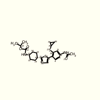 CC(=O)Nc1ccc(-c2cnc([C@H]3CC[C@H](NC(=O)OC(C)C)CC3)s2)c(SC2CC2)c1